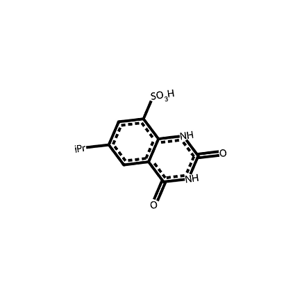 CC(C)c1cc(S(=O)(=O)O)c2[nH]c(=O)[nH]c(=O)c2c1